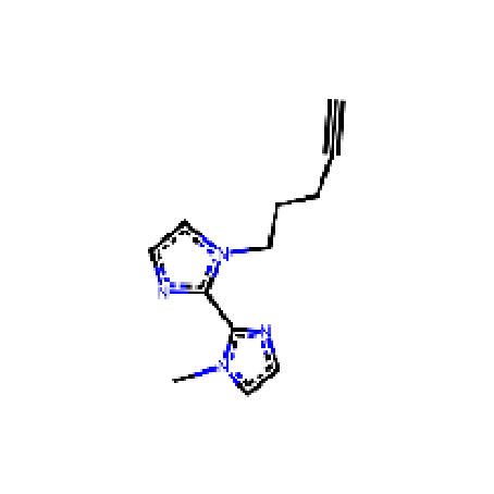 C#CCCCn1ccnc1-c1nccn1C